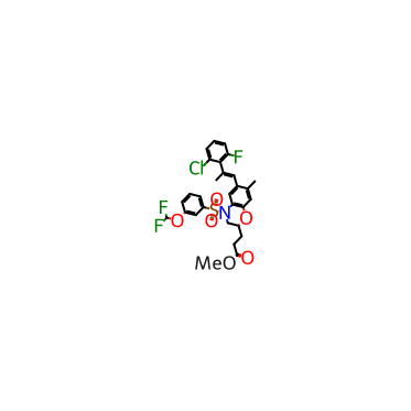 COC(=O)CCC1CN(S(=O)(=O)c2cccc(OC(F)F)c2)c2cc(/C=C(\C)c3c(F)cccc3Cl)c(C)cc2O1